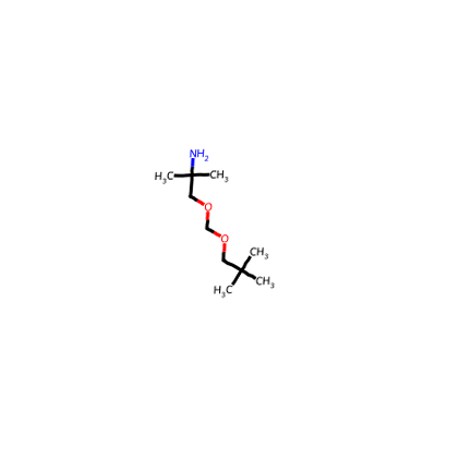 CC(C)(C)COCOCC(C)(C)N